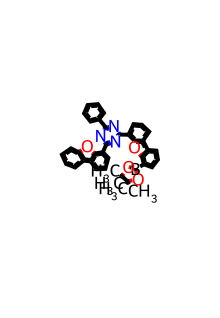 CC1(C)OB(c2cccc3c2oc2c(-c4nc(-c5ccccc5)nc(-c5cccc6c5oc5ccccc56)n4)cccc23)OC1(C)C